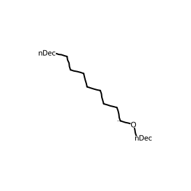 CCCCCCCCCCCCCCCCC[CH]OCCCCCCCCCC